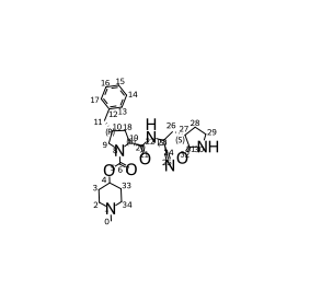 CN1CCC(OC(=O)N2C[C@H](Cc3ccccc3)C[C@H]2C(=O)N[C@H](C#N)C[C@@H]2CCNC2=O)CC1